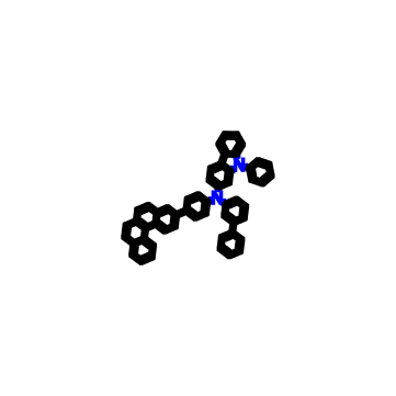 c1ccc(-c2cccc(N(c3ccc(-c4ccc5c(ccc6ccc7ccccc7c65)c4)cc3)c3ccc4c5ccccc5n(-c5ccccc5)c4c3)c2)cc1